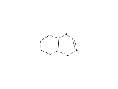 [C]1[C]=[C]CC2CCCCC12